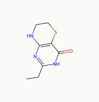 CCc1nc2c(c(=O)[nH]1)SCCN2